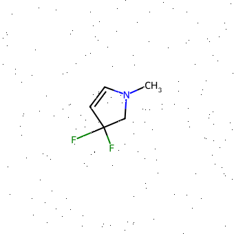 CN1C=CC(F)(F)C1